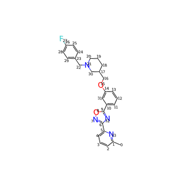 Cc1cccc(-c2noc(-c3cccc(OCC4CCCN(Cc5ccc(F)cc5)C4)c3)n2)n1